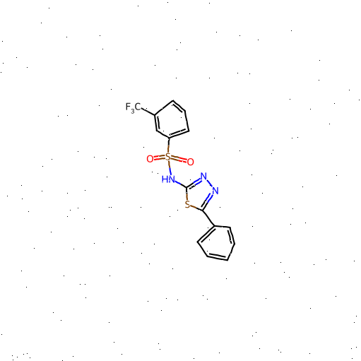 O=S(=O)(Nc1nnc(-c2ccccc2)s1)c1cccc(C(F)(F)F)c1